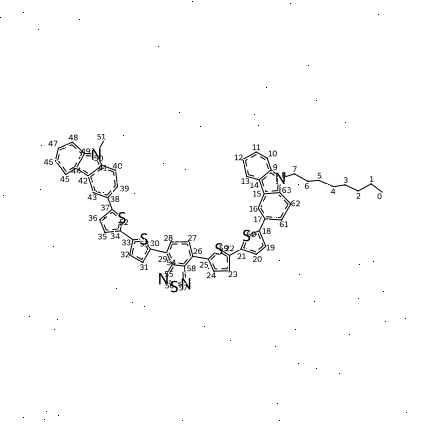 CCCCCCCCn1c2ccccc2c2cc(-c3ccc(-c4ccc(-c5ccc(-c6ccc(-c7ccc(-c8ccc9c(c8)c8ccccc8n9C)s7)s6)c6nsnc56)s4)s3)ccc21